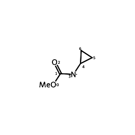 COC(=O)[N]C1CC1